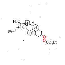 CCOC(=O)OO[C@H]1CC[C@@]2(C)C(CC[C@H]3[C@@H]4CC[C@H]([C@H](C)CCCC(C)C)[C@@]4(C)CC[C@@H]32)C1